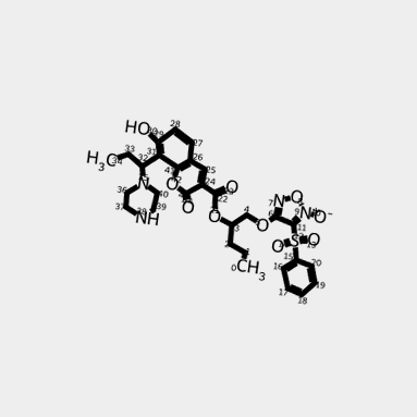 CCCC(COc1no[n+]([O-])c1S(=O)(=O)c1ccccc1)OC(=O)c1cc2ccc(O)c(C(CC)N3CCNCC3)c2oc1=O